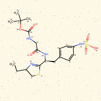 CCC1CSC([C@H](Cc2ccc(NS(=O)(=O)O)cc2)NC(=O)CNC(=O)OC(C)(C)C)=N1